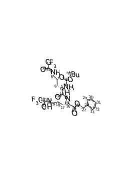 CC(C)(C)OC(=O)N[C@@H](CCCNC(=O)C(F)(F)F)C(=O)N[C@@H](CCCNC(=O)C(F)(F)F)C(=O)OCc1ccccc1